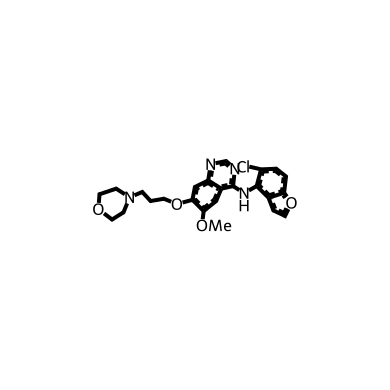 COc1cc2c(Nc3c(Cl)ccc4occc34)ncnc2cc1OCCCN1CCOCC1